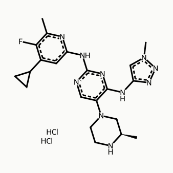 Cc1nc(Nc2ncc(N3CCN[C@H](C)C3)c(Nc3cn(C)nn3)n2)cc(C2CC2)c1F.Cl.Cl